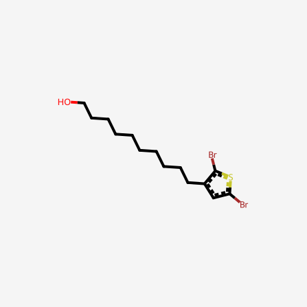 OCCCCCCCCCCc1cc(Br)sc1Br